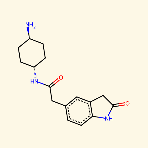 N[C@H]1CC[C@H](NC(=O)Cc2ccc3c(c2)CC(=O)N3)CC1